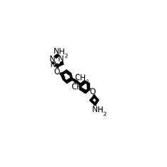 CC(C)(c1ccc(Oc2cnc(N)nn2)cc1)c1ccc(OC2CC(N)C2)cc1